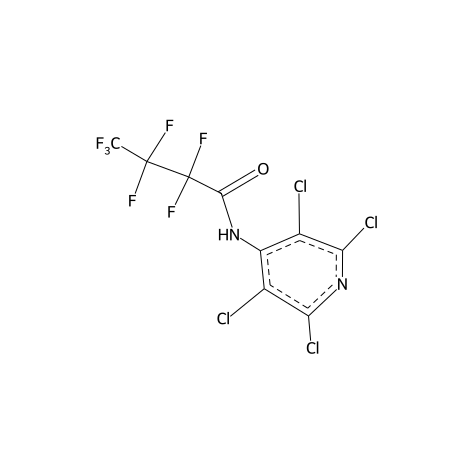 O=C(Nc1c(Cl)c(Cl)nc(Cl)c1Cl)C(F)(F)C(F)(F)C(F)(F)F